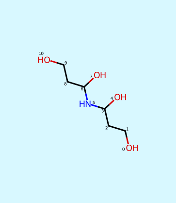 OCCC(O)NC(O)CCO